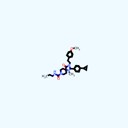 CCCNC(=O)N1CCC2(CC1)C(=O)N(CCc1ccc(OC)cc1)C(c1ccc(C3CC3)cc1)N2C